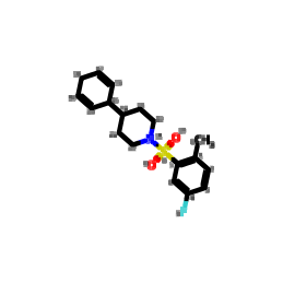 Cc1ccc(F)cc1S(=O)(=O)N1CCC(C2C=CCC=C2)CC1